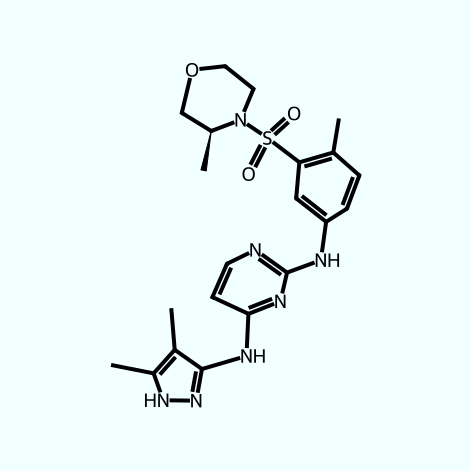 Cc1ccc(Nc2nccc(Nc3n[nH]c(C)c3C)n2)cc1S(=O)(=O)N1CCOC[C@@H]1C